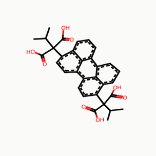 CC(C)C(C(=O)O)(C(=O)O)c1ccc2c3ccc(C(C(=O)O)(C(=O)O)C(C)C)c4cccc(c5cccc1c52)c43